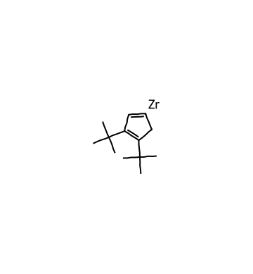 CC(C)(C)C1=C(C(C)(C)C)CC=C1.[Zr]